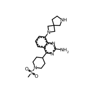 CS(=O)(=O)N1CCC(c2nc(N)nc3c(N4CC5(CCNC5)C4)cccc23)CC1